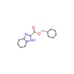 O=C(OCc1ccccc1)c1nc2ccccc2[nH]1